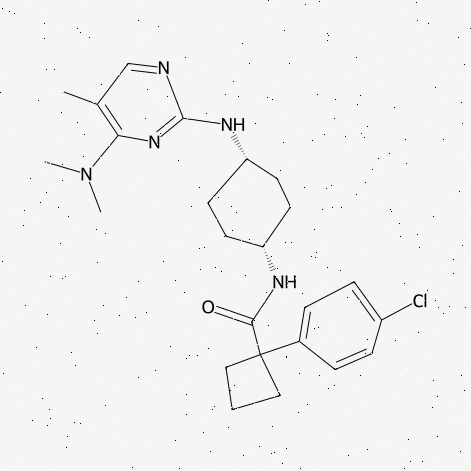 Cc1cnc(N[C@H]2CC[C@@H](NC(=O)C3(c4ccc(Cl)cc4)CCC3)CC2)nc1N(C)C